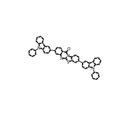 O=c1c2ccc(-c3ccc4c(c3)c3ccccc3n4-c3ccccc3)cc2nc2sc3cc(-c4ccc5c(c4)c4ccccc4n5-c4ccccc4)ccc3n12